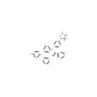 CCC1CC(c2ccc(N3c4cc(C)cc5c4B(c4cc(C(C)(C)C)ccc4N5c4ccc(C(C)(C)C)cc4)c4sc5ccc(C(C)(C)C)cc5c43)cc2)C(C)(C)C1(C)C